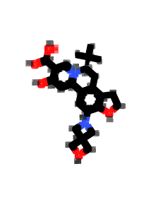 CC(C)(C)[C@@H]1Cc2c(cc(N3CC4(COC4)C3)c3c2CCO3)-c2cc(=O)c(C(=O)O)cn21